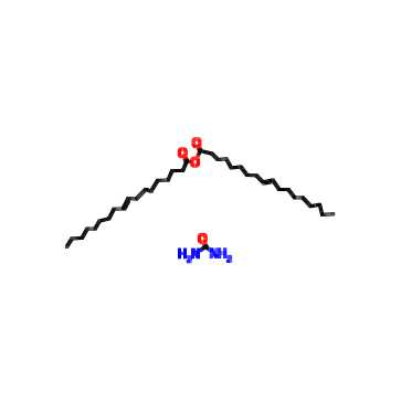 CCCCCCCCC=CCCCCCCCC(=O)OC(=O)CCCCCCCC=CCCCCCCCC.NC(N)=O